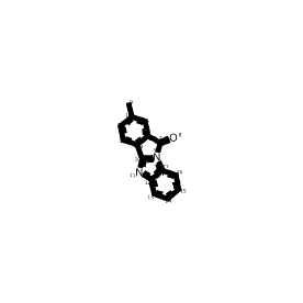 Cc1ccc2c(c1)C(=O)n1c-2nc2ccccc21